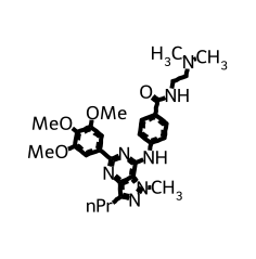 CCCc1nn(C)c2c(Nc3ccc(C(=O)NCCN(C)C)cc3)nc(-c3cc(OC)c(OC)c(OC)c3)nc12